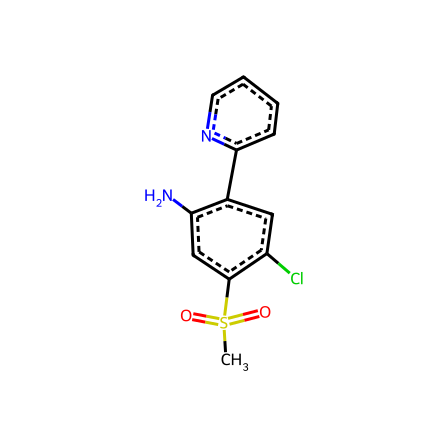 CS(=O)(=O)c1cc(N)c(-c2ccccn2)cc1Cl